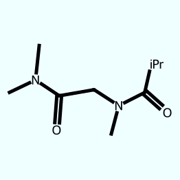 CC(C)C(=O)N(C)CC(=O)N(C)C